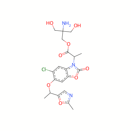 Cc1ncc(C(C)Oc2cc3oc(=O)n(C(C)C(=O)OCC(N)(CO)CO)c3cc2Cl)o1